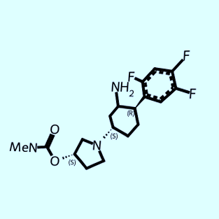 CNC(=O)O[C@H]1CCN([C@H]2CC[C@H](c3cc(F)c(F)cc3F)C(N)C2)C1